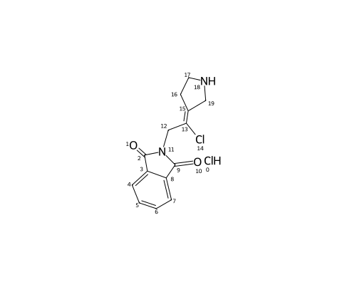 Cl.O=C1c2ccccc2C(=O)N1C/C(Cl)=C1\CCNC1